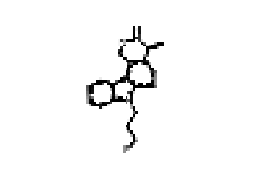 C=C1NN=Cc2c1ccc1c2c2ccccc2n1CCCF